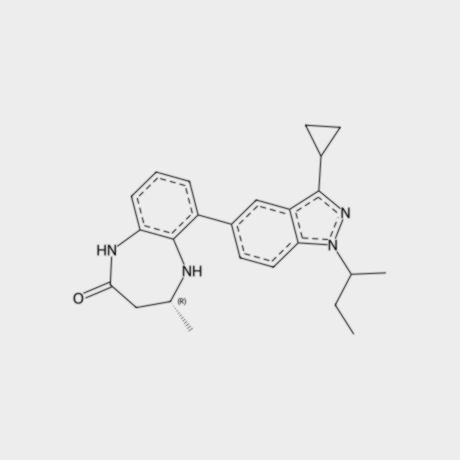 CCC(C)n1nc(C2CC2)c2cc(-c3cccc4c3N[C@H](C)CC(=O)N4)ccc21